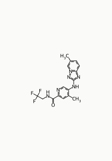 Cc1ccc2nc(Nc3cnc(C(=O)NCC(F)(F)F)cc3C)nn2c1